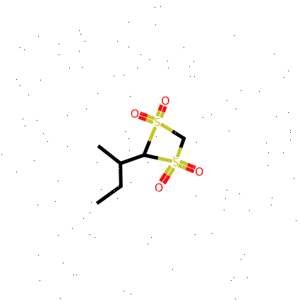 CCC(C)C1S(=O)(=O)CS1(=O)=O